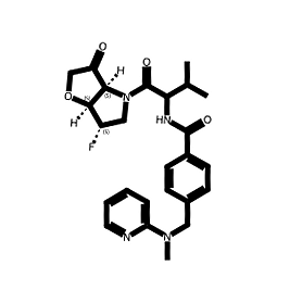 CC(C)C(NC(=O)c1ccc(CN(C)c2ccccn2)cc1)C(=O)N1C[C@H](F)[C@H]2OCC(=O)[C@H]21